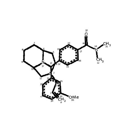 C=CCN1CCC2CCCC(C1)N2C(c1ccc(C(=O)N(C)C)cc1)c1cccc(OC)c1